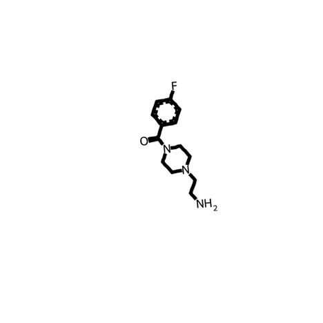 NCCN1CCN(C(=O)c2ccc(F)cc2)CC1